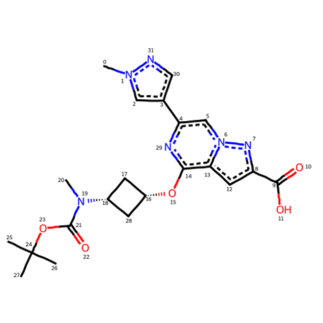 Cn1cc(-c2cn3nc(C(=O)O)cc3c(O[C@H]3C[C@@H](N(C)C(=O)OC(C)(C)C)C3)n2)cn1